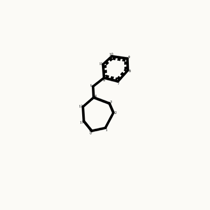 [CH]1CCCC(Cc2ccccc2)CC1